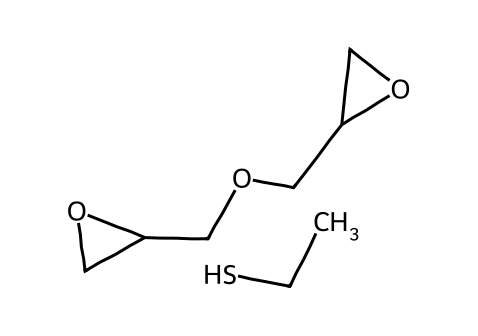 C(OCC1CO1)C1CO1.CCS